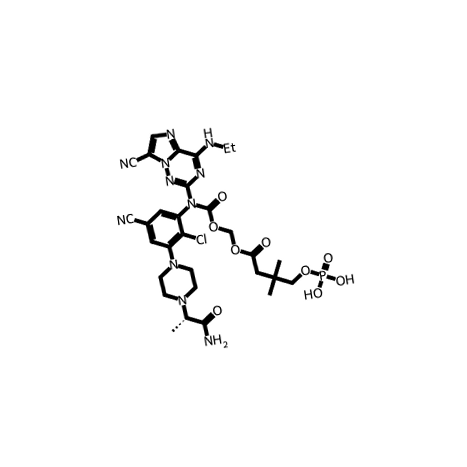 CCNc1nc(N(C(=O)OCOC(=O)CC(C)(C)COP(=O)(O)O)c2cc(C#N)cc(N3CCN([C@@H](C)C(N)=O)CC3)c2Cl)nn2c(C#N)cnc12